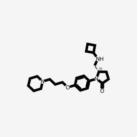 O=C1CC[C@@H](CNC2CCC2)N1c1ccc(OCCCN2CCCCC2)cc1